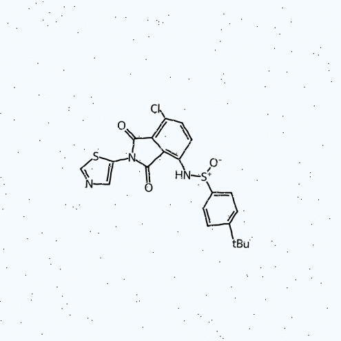 CC(C)(C)c1ccc([S+]([O-])Nc2ccc(Cl)c3c2C(=O)N(c2cncs2)C3=O)cc1